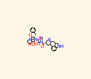 CN1C[C@H](C(=O)N[C@]2(C)O[C@@]3(O)[C@@H]4CCCN4C(=O)[C@H](Cc4ccccc4)N3C2=O)CC2c3cccc4c3C(CN4)CC21